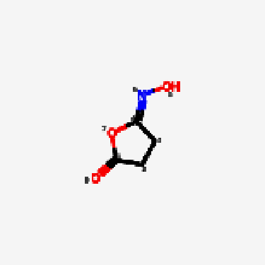 O=C1CCC(=NO)O1